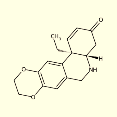 CC[C@]12C=CC(=O)C[C@@H]1NCc1cc3c(cc12)OCCO3